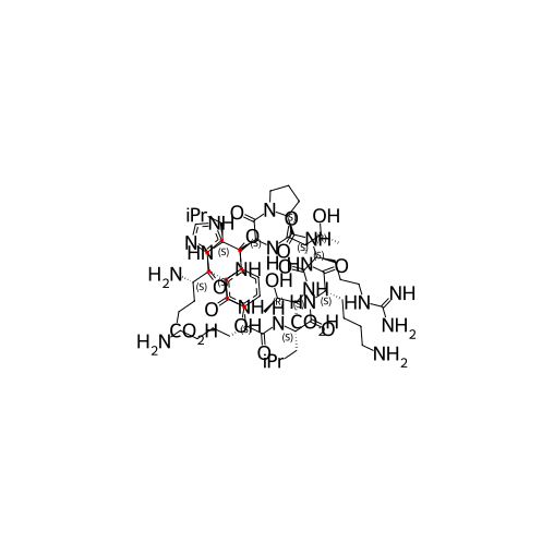 CC(C)C[C@H](NC(=O)[C@H](CCCCN)NC(=O)[C@H](Cc1c[nH]cn1)NC(=O)[C@H](CC(C)C)NC(=O)[C@@H](N)CCC(=O)O)C(=O)N[C@@H](CCCCN)C(=O)N[C@H](C(=O)N[C@@H](Cc1ccc(O)cc1)C(=O)N1CCC[C@H]1C(=O)N[C@@H](CCCNC(=N)N)C(=O)N[C@H](C(=O)O)[C@@H](C)O)[C@@H](C)O